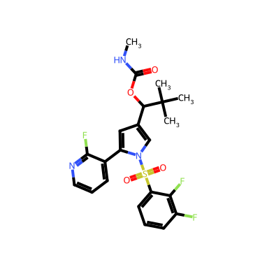 CNC(=O)OC(c1cc(-c2cccnc2F)n(S(=O)(=O)c2cccc(F)c2F)c1)C(C)(C)C